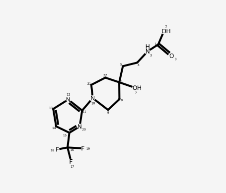 O=C(O)NCCC1(O)CCN(c2nccc(C(F)(F)F)n2)CC1